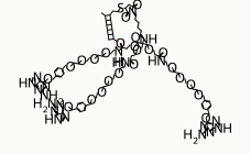 CC1CC2C1C1C2C2C3C(C)C(CCSC4CC(=O)N(CCCCCC(=O)NC(COCCC(=O)NCCOCCOCCOCCOCc5ccc(COc6nc(N)nc7[nH]cnc67)cc5)(COCCC(=O)NCCOCCOCCOCCOCc5ccc(COc6nc(N)nc7[nH]cnc67)cc5)COCCC(=O)NCCOCCOCCOCCOCc5ccc(COc6nc(N)nc7[nH]cnc67)cc5)C4=O)C3C12